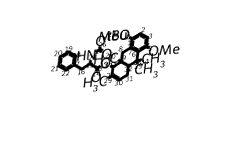 COc1ccc(OC)c2c1CC1(C)C(OC(=O)C(Cc3ccccc3)NC(=O)OC(C)(C)C)C(C)=CCC1C2(C)C